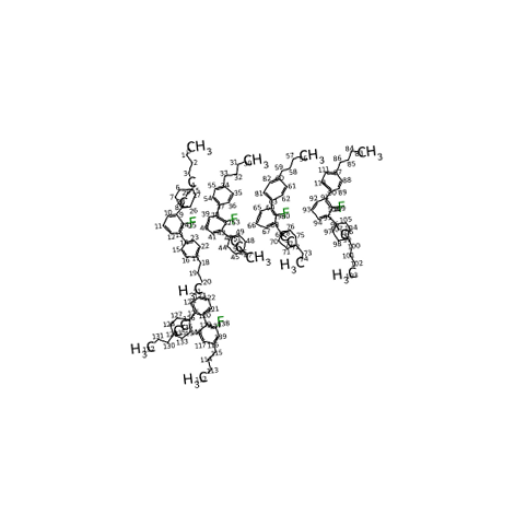 CCCCCC12CCC(c3cccc(-c4ccc(CCCC)cc4)c3F)(CC1)CC2.CCCCc1ccc(-c2cccc(C34CCC(C)(CC3)CC4)c2F)cc1.CCCCc1ccc(-c2cccc(C34CCC(CC)(CC3)CC4)c2F)cc1.CCCCc1ccc(-c2cccc(C34CCC(CCCC)(CC3)CC4)c2F)cc1.CCCCc1ccc(-c2ccccc2C23CCC(CCC)(CC2)CC3)c(F)c1